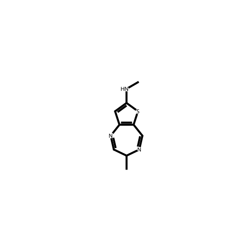 CNc1cc2c(s1)C=NC(C)C=N2